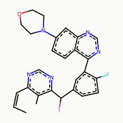 C/C=C\c1ncnc(C(I)c2ccc(F)c(-c3ncnc4cc(N5CCOCC5)ccc34)c2)c1C